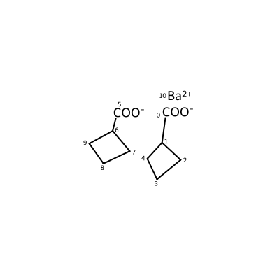 O=C([O-])C1CCC1.O=C([O-])C1CCC1.[Ba+2]